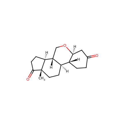 C[C@]12CC[C@@H]3[C@H]4CCC(=O)C[C@@H]4OC[C@H]3[C@@H]1CCC2=O